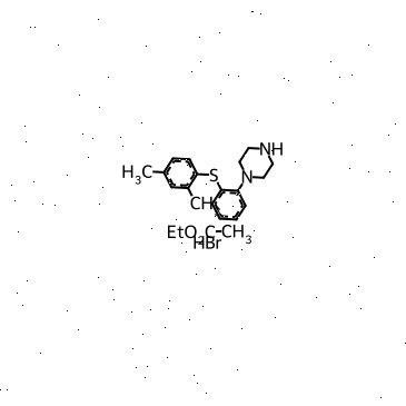 Br.CCOC(C)=O.Cc1ccc(Sc2ccccc2N2CCNCC2)c(C)c1